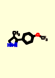 CC1CNN=C1c1ccc(OC(F)(F)F)cc1